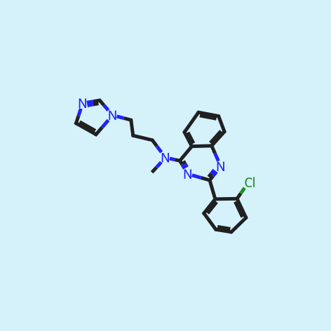 CN(CCCn1ccnc1)c1nc(-c2ccccc2Cl)nc2ccccc12